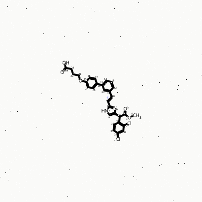 COC(=O)C(c1c[nH]c(/C=C/c2cccc(-c3ccc(OCCCC(=O)O)cc3)c2)n1)c1ccc(Cl)cc1Cl